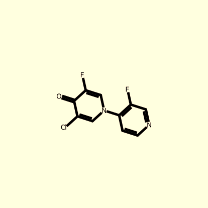 O=c1c(F)cn(-c2ccncc2F)cc1Cl